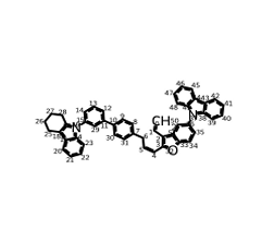 C=Cc1c(/C=C\Cc2ccc(-c3cccc(-n4c5c(c6ccccc64)CCCC5)c3)cc2)oc2ccc(-n3c4ccccc4c4ccccc43)cc12